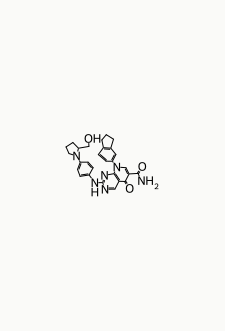 NC(=O)c1cn(-c2ccc3c(c2)CCC3)c2nc(Nc3ccc(N4CCCC4CO)cc3)ncc2c1=O